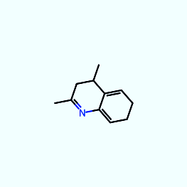 CC1=NC2=CCCC=C2C(C)C1